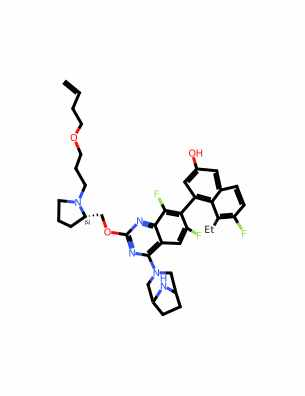 C=CCCOCCCN1CCC[C@H]1COc1nc(N2CC3CCC(C2)N3)c2cc(F)c(-c3cc(O)cc4ccc(F)c(CC)c34)c(F)c2n1